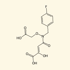 O=C(O)CON(Cc1ccc(F)cc1)C(=O)/C=C(\O)C(=O)O